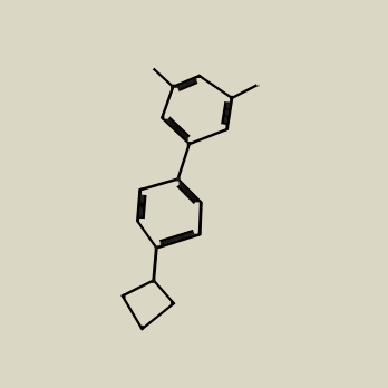 Fc1cc(F)cc(-c2ccc(C3CCC3)cc2)c1